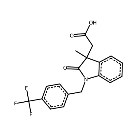 CC1(CC(=O)O)C(=O)N(Cc2ccc(C(F)(F)F)cc2)c2ccccc21